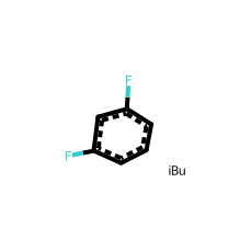 CC[C@H](C)c1cc(F)cc(F)c1